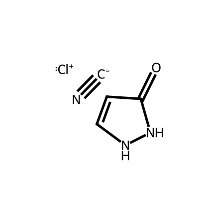 O=c1cc[nH][nH]1.[C-]#N.[Cl+]